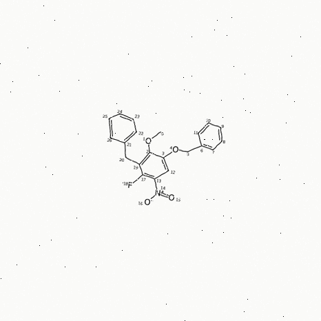 COc1c(OCc2ccccc2)cc([N+](=O)[O-])c(F)c1Cc1ccccc1